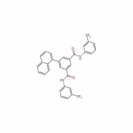 O=C(Nc1cccc(C(F)(F)F)c1)c1cc(C(=O)Nc2cccc(C(F)(F)F)c2)cc(-c2cccc3ccccc23)c1